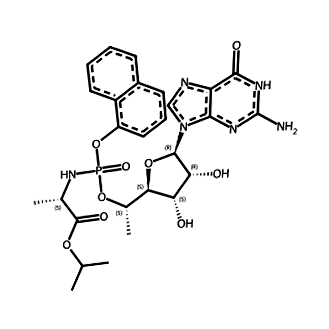 CC(C)OC(=O)[C@H](C)NP(=O)(Oc1cccc2ccccc12)O[C@@H](C)[C@H]1O[C@@H](n2cnc3c(=O)[nH]c(N)nc32)[C@H](O)[C@@H]1O